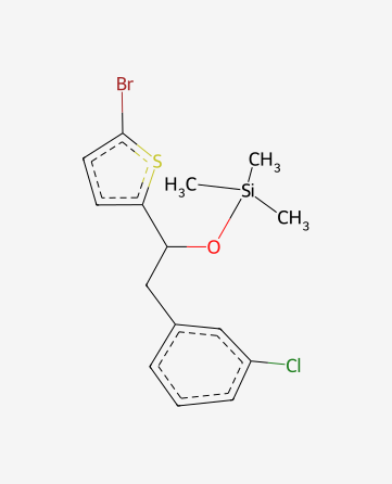 C[Si](C)(C)OC(Cc1cccc(Cl)c1)c1ccc(Br)s1